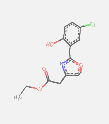 CCOC(=O)Cc1coc(-c2cc(Cl)ccc2O)n1